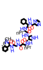 CCC[C@H](NC(=O)[C@@H](NC(=O)c1cnccn1)C1CCCCC1)C(=O)N[C@H]1CNC[C@H]1C(=O)N[C@@H](CCC)C(=O)C(=O)NCC(=O)N[C@H](C(=O)N(C)C)c1ccccc1